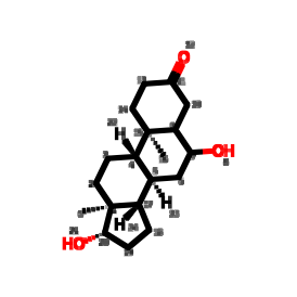 C[C@]12CC[C@H]3[C@@H](CC(O)C4CC(=O)CC[C@@]43C)[C@@H]1CC[C@@H]2O